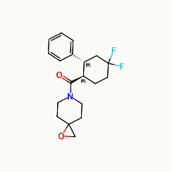 O=C([C@@H]1CCC(F)(F)C[C@H]1c1ccccc1)N1CCC2(CC1)CO2